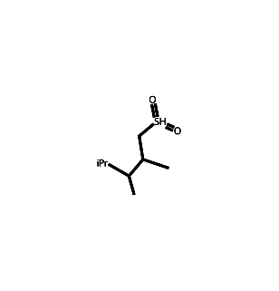 CC(C)C(C)C(C)C[SH](=O)=O